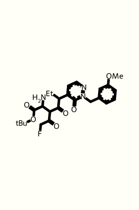 CCC(C(=O)C(C(=O)CF)C(N)C(=O)OC(C)(C)C)c1ccnn(Cc2cccc(OC)c2)c1=O